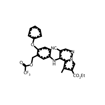 CCOC(=O)c1cn2ncc(C#N)c(Nc3ccc(Oc4ccccc4)c(COC(=O)C(F)(F)F)c3)c2c1C